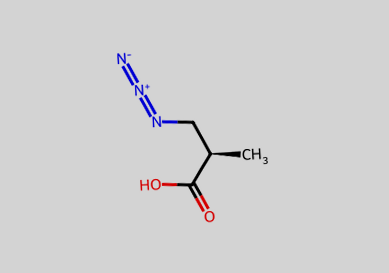 C[C@H](CN=[N+]=[N-])C(=O)O